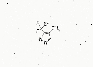 CC1=C(C(F)(F)Br)[N]N=C1